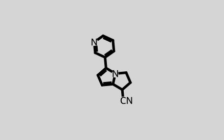 N#CC1CCn2c(-c3cccnc3)ccc21